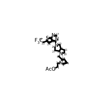 CC(=O)OCCn1cccc1CN1CCC2CN(c3ncnc4sc(CC(F)(F)F)cc34)CCC21